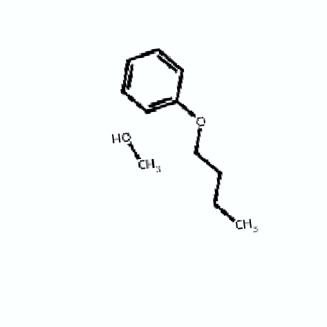 CCCCOc1ccccc1.CO